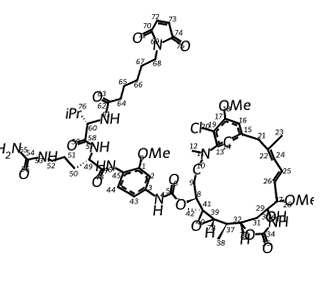 COc1cc(NC(=O)O[C@H]2CCN(C)c3cc(cc(OC)c3Cl)C/C(C)=C/C=C/[C@@H](OC)[C@@]3(O)C[C@H](OC(=O)N3)[C@@H](C)[C@@H]3O[C@@]23C)ccc1NC(=O)[C@H](CCCNC(N)=O)NC(=O)[C@@H](NC(=O)CCCCCN1C(=O)C=CC1=O)C(C)C